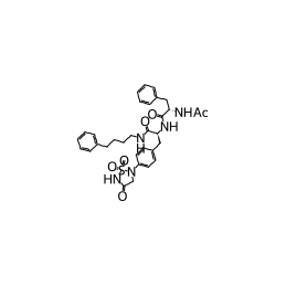 CC(=O)N[C@@H](Cc1ccccc1)C(=O)N[C@@H](Cc1ccc(N2CC(=O)NS2(=O)=O)cc1)C(=O)NCCCCc1ccccc1